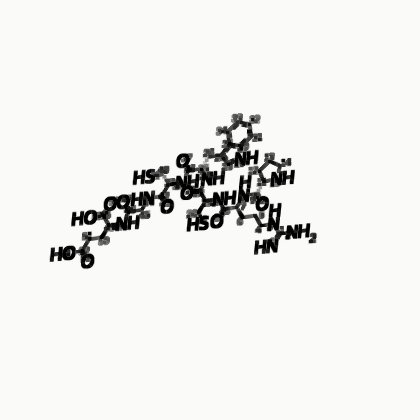 N=C(N)NCCC[C@H](NC(=O)[C@@H]1CCCN1)C(=O)N[C@@H](CS)C(=O)N[C@@H](Cc1c[nH]c2ccccc12)C(=O)N[C@@H](CS)C(=O)NCC(=O)N[C@@H](CCC(=O)O)C(=O)O